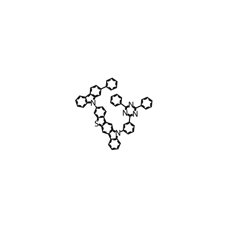 c1ccc(-c2ccc3c4ccccc4n(-c4ccc5c(c4)sc4cc6c7ccccc7n(-c7cccc(-c8nc(-c9ccccc9)nc(-c9ccccc9)n8)c7)c6cc45)c3c2)cc1